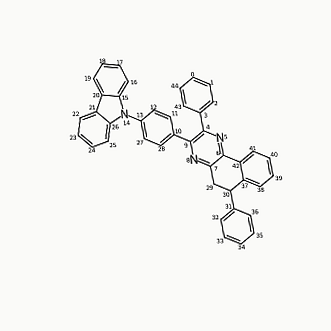 c1ccc(-c2nc3c(nc2-c2ccc(-n4c5ccccc5c5ccccc54)cc2)CC(c2ccccc2)c2ccccc2-3)cc1